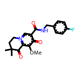 COc1c2n(cc(C(=O)NCc3ccc(F)cc3)c1=O)CCC(C)(C)C2=O